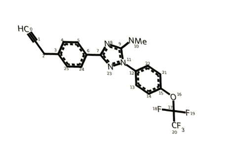 C#CCc1ccc(-c2nc(NC)n(-c3ccc(OC(F)(F)C(F)(F)F)cc3)n2)cc1